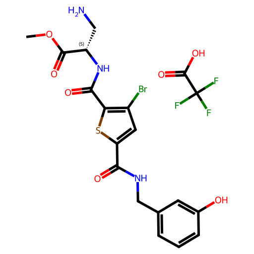 COC(=O)[C@H](CN)NC(=O)c1sc(C(=O)NCc2cccc(O)c2)cc1Br.O=C(O)C(F)(F)F